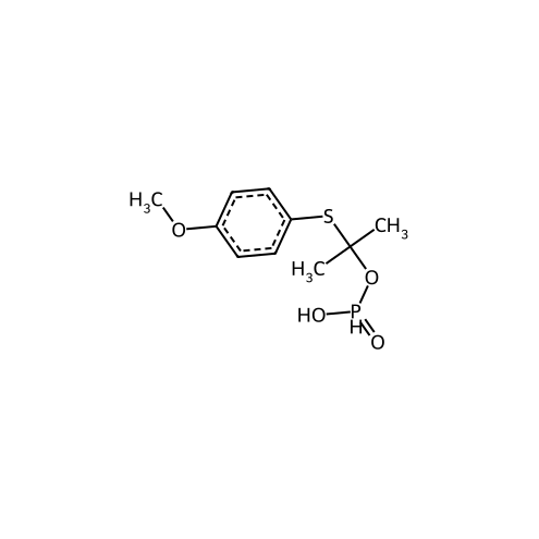 COc1ccc(SC(C)(C)O[PH](=O)O)cc1